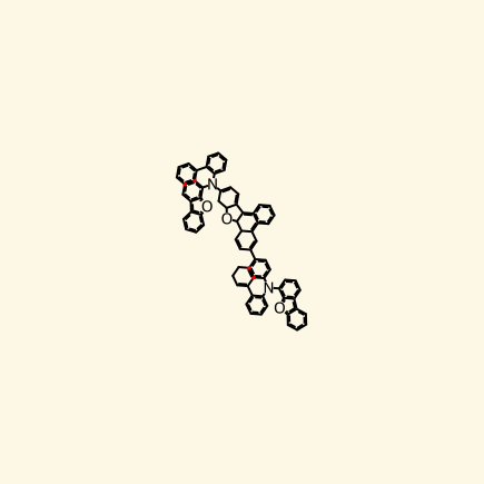 C1=CC(c2ccccc2N(c2ccc(C3=CC4=c5ccccc5=C5C6=CC=C(N(c7ccccc7-c7ccccc7)c7cccc8c7oc7ccccc78)CC6OC5C4C=C3)cc2)c2cccc3c2oc2ccccc23)=CCC1